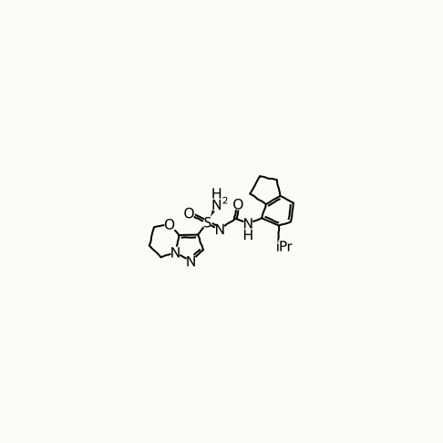 CC(C)c1ccc2c(c1NC(=O)N=[S@@](N)(=O)c1cnn3c1OCCC3)CCC2